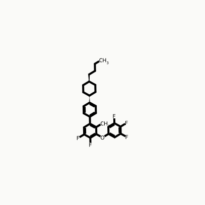 CCCC[C@H]1CC[C@H](c2ccc(-c3cc(F)c(F)c(Oc4cc(F)c(F)c(F)c4)c3C)cc2)CC1